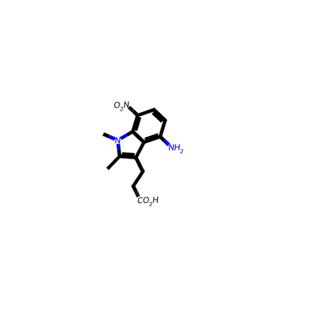 Cc1c(CCC(=O)O)c2c(N)ccc([N+](=O)[O-])c2n1C